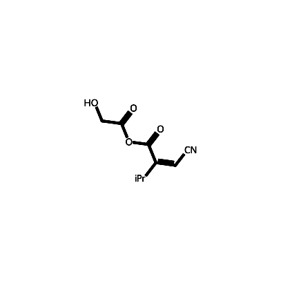 CC(C)C(=CC#N)C(=O)OC(=O)CO